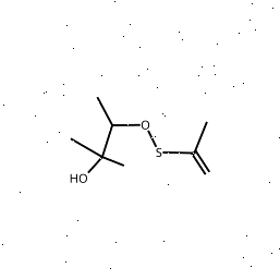 C=C(C)SOC(C)C(C)(C)O